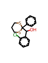 OC(c1ccccc1Cl)C1(c2ccccc2)SCCCS1